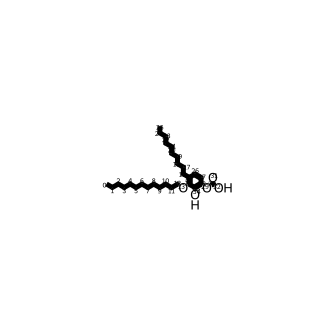 CCCCCCCCCCCCCOc1c(CCCCCCCCCC)ccc(OC(=O)O)c1O